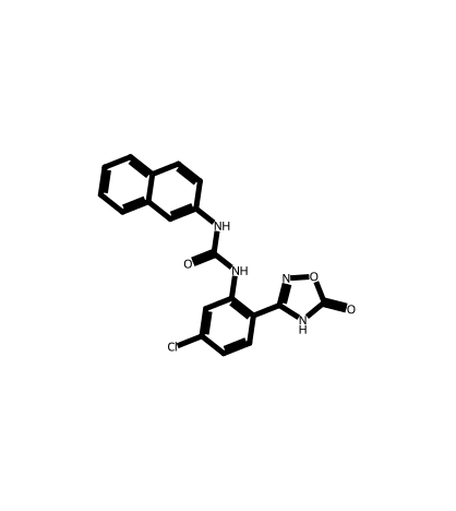 O=C(Nc1ccc2ccccc2c1)Nc1cc(Cl)ccc1-c1noc(=O)[nH]1